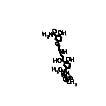 Cn1nc(S(C)(=O)=O)nc1-c1ccc(O)c(C(O)CCNCCOc2ccc(O)c(C(N)=O)c2)c1